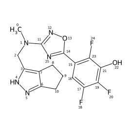 CN(Cc1[nH]nc2c1CCC2)c1noc(-c2cc(F)c(F)c(O)c2F)n1